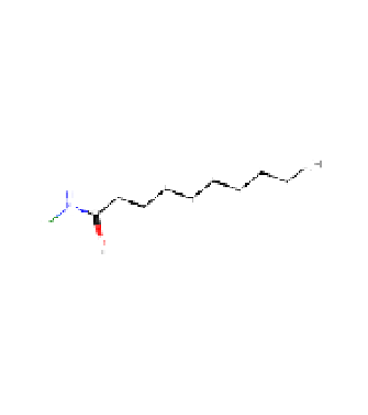 CCCCCCCCCC(=O)NCl